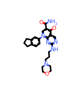 NC(=O)c1cn(-c2ccc3c(c2)CCC3)c2nc(NCCCN3CCOCC3)ncc2c1=O